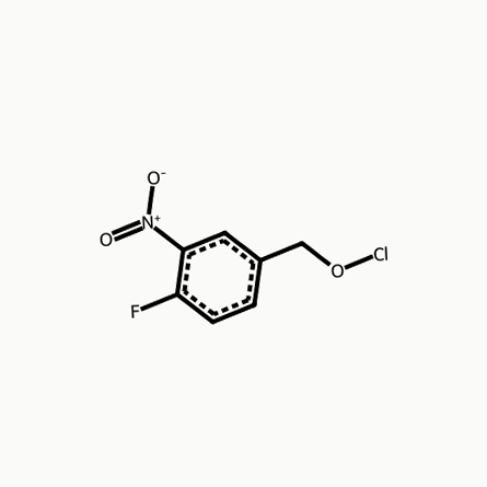 O=[N+]([O-])c1cc(COCl)ccc1F